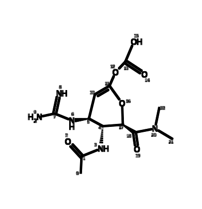 CC(=O)N[C@@H]1[C@@H](NC(=N)N)C=C(OC(=O)O)O[C@H]1C(=O)N(C)C